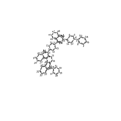 c1ccc(-c2ccc(-c3nc(-c4ccc(-c5nc6ccccc6c6c5ccc5c6c6ccccc6n5-c5ccccc5)cc4)c4ccccc4n3)cc2)cc1